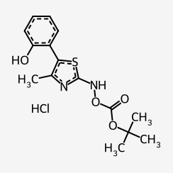 Cc1nc(NOC(=O)OC(C)(C)C)sc1-c1ccccc1O.Cl